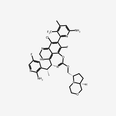 Cc1cc(N)nc(-c2c(F)c3c4c(c2Cl)=NCNC=4[C@@H]([C@H](C)c2cc(F)cnc2N)N=C(OC[C@@H]2CC[C@H]4COCCN42)O3)c1C(F)(F)F